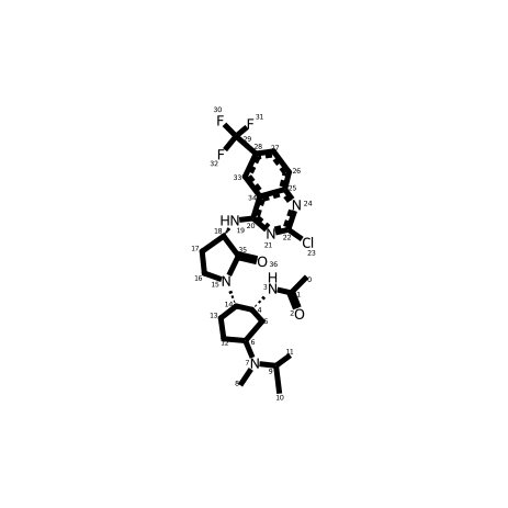 CC(=O)N[C@@H]1CC(N(C)C(C)C)CC[C@@H]1N1CC[C@H](Nc2nc(Cl)nc3ccc(C(F)(F)F)cc23)C1=O